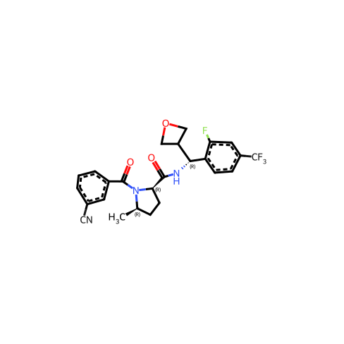 C[C@@H]1CC[C@H](C(=O)N[C@@H](c2ccc(C(F)(F)F)cc2F)C2COC2)N1C(=O)c1cccc(C#N)c1